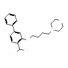 CC(C)c1ccc(-c2ccccc2)cc1OCCCCN1CCOCC1